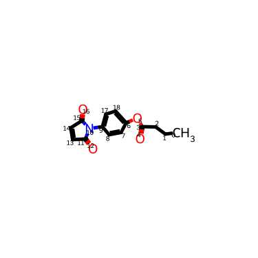 CCCC(=O)Oc1ccc(N2C(=O)C=CC2=O)cc1